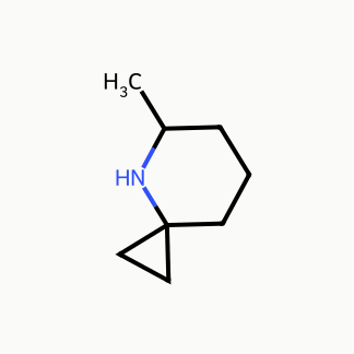 CC1CCCC2(CC2)N1